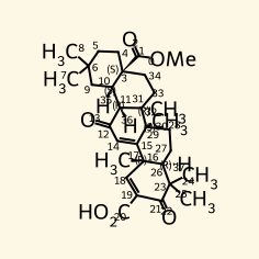 COC(=O)[C@]12CCC(C)(C)C[C@H]1[C@H]1C(=O)C=C3[C@@]4(C)C=C(C(=O)O)C(=O)C(C)(C)[C@@H]4CC[C@@]3(C)[C@]1(C)CC2